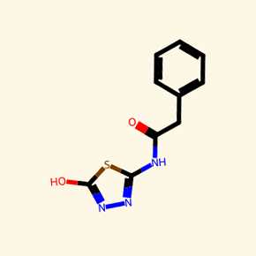 O=C(Cc1ccccc1)Nc1nnc(O)s1